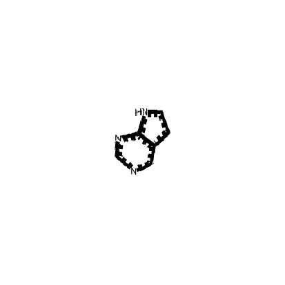 [c]1ncnc2[nH]ccc12